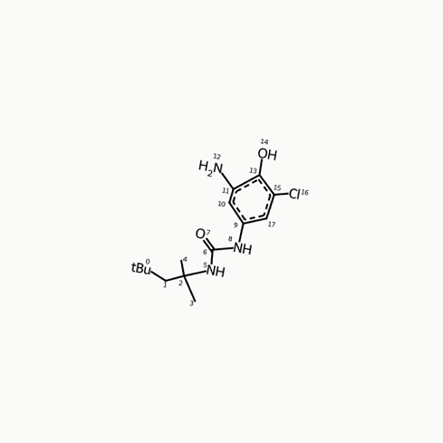 CC(C)(C)CC(C)(C)NC(=O)Nc1cc(N)c(O)c(Cl)c1